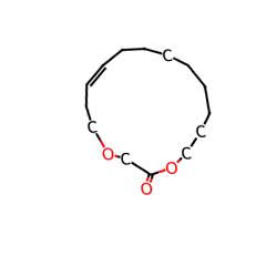 O=C1COCC/C=C\CCCCCCCCO1